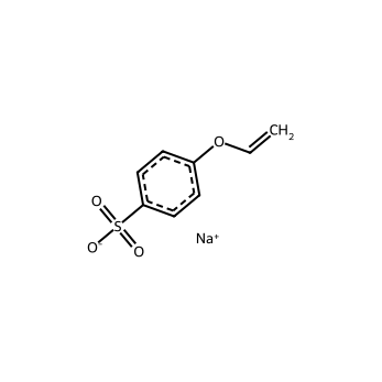 C=COc1ccc(S(=O)(=O)[O-])cc1.[Na+]